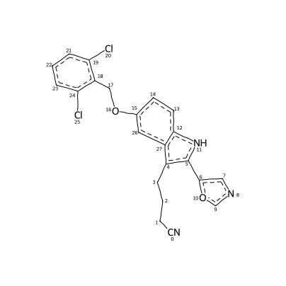 N#CCCCc1c(-c2cnco2)[nH]c2ccc(OCc3c(Cl)cccc3Cl)cc12